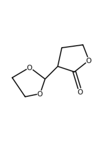 O=C1OCCC1C1OCCO1